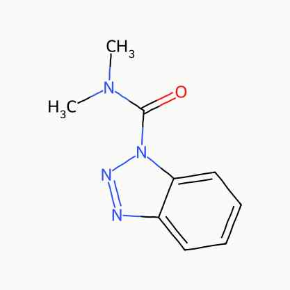 CN(C)C(=O)n1nnc2ccccc21